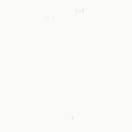 CC=CCOCC=C(C)C